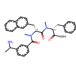 CNC(=O)[C@@H](Cc1ccccc1)N(C)C(=O)[C@@H](Cc1ccc2ccccc2c1)N(C)C(=O)c1cccc(C(C)N)c1